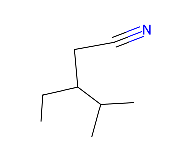 CCC(CC#N)C(C)C